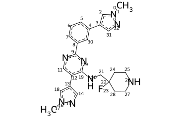 Cn1cc(-c2cccc(-c3ncc(-c4cnn(C)c4)c(NCC4(F)CCNCC4)n3)c2)cn1